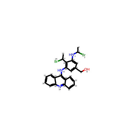 CC(Br)Nc1cc(CO)cc(Nc2c3ccccc3nc3ccccc23)c1C(C)Br